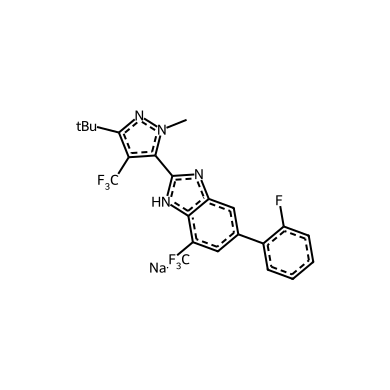 Cn1nc(C(C)(C)C)c(C(F)(F)F)c1-c1nc2cc(-c3ccccc3F)cc(C(F)(F)F)c2[nH]1.[Na]